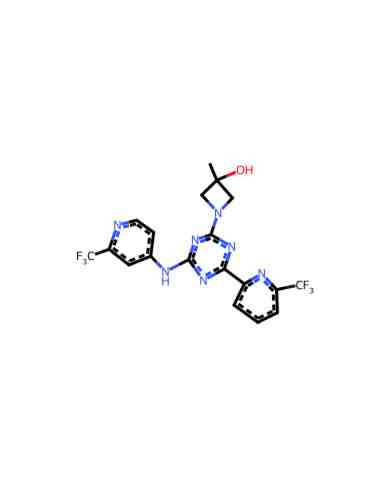 CC1(O)CN(c2nc(Nc3ccnc(C(F)(F)F)c3)nc(-c3cccc(C(F)(F)F)n3)n2)C1